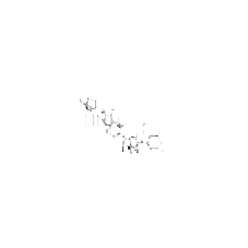 Cc1cnsc1C(=O)Nc1ccc(-c2cc(-c3ccccc3F)nn2C)cn1